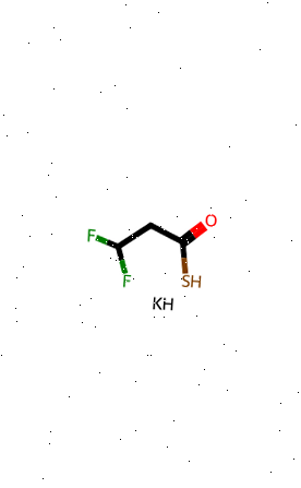 O=C(S)CC(F)F.[KH]